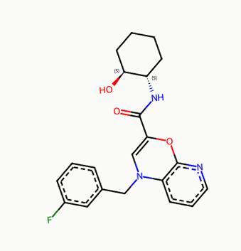 O=C(N[C@H]1CCCC[C@@H]1O)C1=CN(Cc2cccc(F)c2)c2cccnc2O1